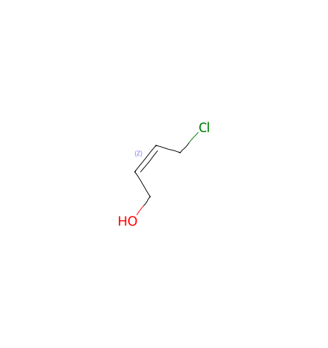 OC/C=C\CCl